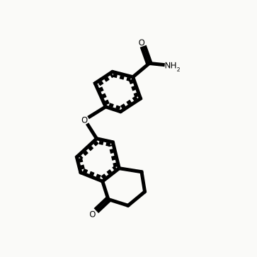 NC(=O)c1ccc(Oc2ccc3c(c2)CCCC3=O)cc1